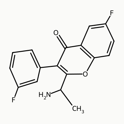 CC(N)c1oc2ccc(F)cc2c(=O)c1-c1cccc(F)c1